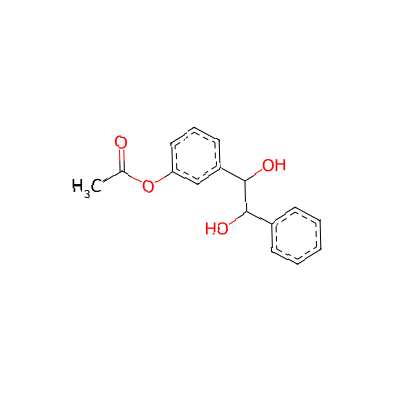 CC(=O)Oc1cccc(C(O)C(O)c2ccccc2)c1